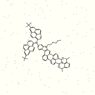 CCCCCCn1c2cc(N(c3ccc4ccc5cc(C(C)(C)C)cc6ccc3c4c56)c3ccc4ccc5cc(C(C)(C)C)cc6ccc3c4c56)ccc2c2c3cccc4c5ccc6c7c(ccc(c(cc21)c43)c75)C(=O)N(c1c(C(C)C)cccc1C(C)C)C6=O